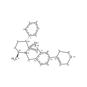 C[C@H]1CC[C@H](c2ccccc2)S(=O)(=O)N1Cc1ccc(C2=CCOCC2)cc1F